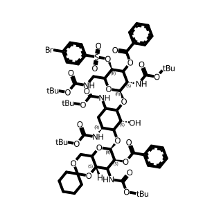 CC(C)(C)OC(=O)NCC1O[C@H](OC2C(NC(=O)OC(C)(C)C)C[C@@H](NC(=O)OC(C)(C)C)C(O[C@@H]3OC4COC5(CCCCC5)O[C@H]4C(NC(=O)OC(C)(C)C)[C@@H]3OC(=O)c3ccccc3)[C@H]2O)[C@@H](NC(=O)OC(C)(C)C)C(OC(=O)c2ccccc2)[C@@H]1OS(=O)(=O)c1ccc(Br)cc1